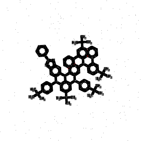 CC(C)(C)c1ccc(N2c3cc(N(c4ccc(C(C)(C)C)cc4-c4ccccc4)c4ccc(C(C)(C)C)cc4-c4ccccc4)ccc3B3c4cc5nn(-c6ccccc6)nc5cc4N(c4ccc(C(C)(C)C)cc4)c4cc(C(C)(C)C)cc2c43)cc1